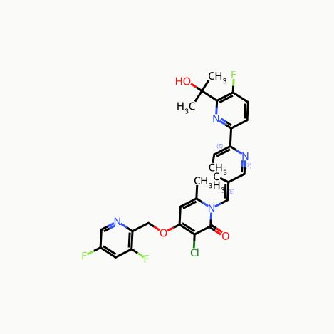 C\C=C(/N=C\C(C)=C\n1c(C)cc(OCc2ncc(F)cc2F)c(Cl)c1=O)c1ccc(F)c(C(C)(C)O)n1